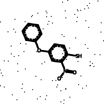 O=[N+]([O-])c1cc(Oc2ccccc2)ccc1S